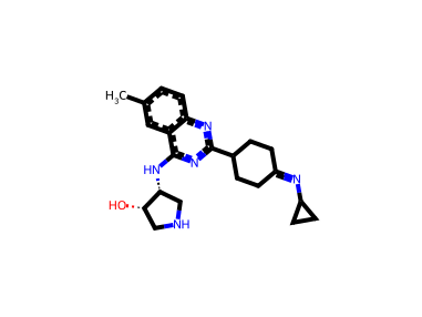 Cc1ccc2nc(C3CCC(=NC4CC4)CC3)nc(N[C@@H]3CNC[C@@H]3O)c2c1